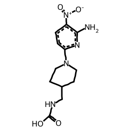 Nc1nc(N2CCC(CNC(=O)O)CC2)ccc1[N+](=O)[O-]